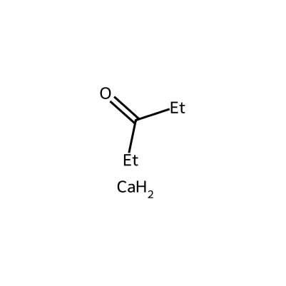 CCC(=O)CC.[CaH2]